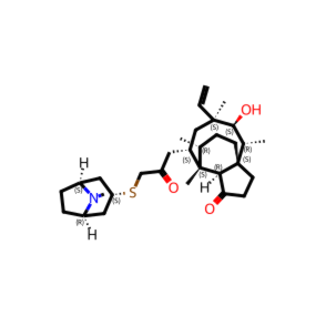 C=C[C@]1(C)C[C@@H](CC(=O)CS[C@@H]2C[C@H]3CC[C@@H](C2)N3C)[C@]2(C)[C@H](C)CC[C@]3(CCC(=O)[C@H]32)[C@@H](C)[C@@H]1O